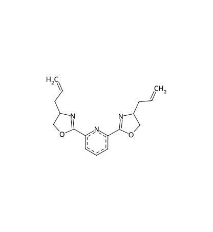 C=CCC1COC(c2cccc(C3=NC(CC=C)CO3)n2)=N1